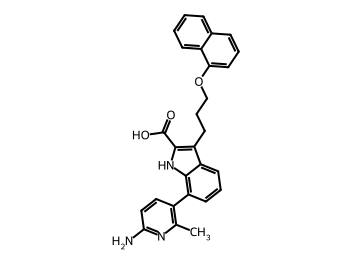 Cc1nc(N)ccc1-c1cccc2c(CCCOc3cccc4ccccc34)c(C(=O)O)[nH]c12